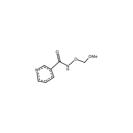 COCONC(=O)c1cccnc1